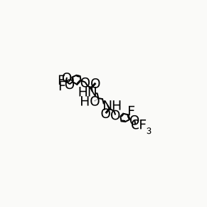 O=C(COc1ccc(OC(F)(F)F)c(F)c1)NCC[C@H](O)CNC(=O)COc1ccc2c(c1)OC(F)(F)O2